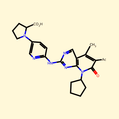 CC(=O)c1c(C)c2cnc(Nc3ccc(N4CCCC4C(=O)O)cn3)nc2n(C2CCCC2)c1=O